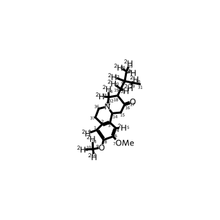 [2H]c1c2c(c([2H])c(OC)c1OC([2H])([2H])[2H])C1CC(=O)C(C([2H])([2H])C([2H])(C([2H])([2H])[2H])C([2H])([2H])C)C([2H])([2H])N1CC2